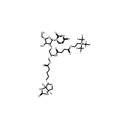 O=C(CCC(=O)OCC[N+](C(F)(F)F)(C(F)(F)F)C(F)(F)F)N[C@H](COC(=O)CCCC[C@@H]1SC[C@H]2NC(=O)N[C@H]12)CS[C@H]1C(O)[C@@H](CO)O[C@H]1n1ccc(=O)[nH]c1=O